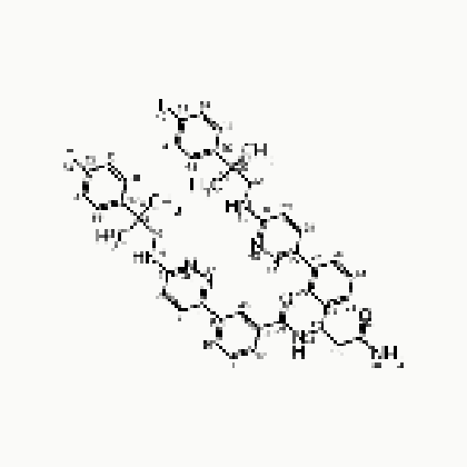 CC(C)(CNc1ccc(-c2cccc(C(=O)NC(CC(N)=O)c3cccc(-c4ccc(NCC(C)(C)c5ccc(F)cc5)nn4)c3)c2)nn1)c1ccc(F)cc1